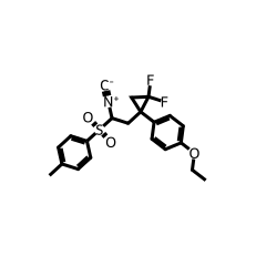 [C-]#[N+]C(CC1(c2ccc(OCC)cc2)CC1(F)F)S(=O)(=O)c1ccc(C)cc1